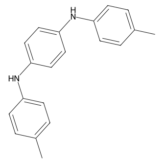 Cc1ccc(Nc2ccc(Nc3ccc(C)cc3)cc2)cc1